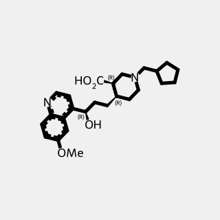 COc1ccc2nccc([C@H](O)CC[C@@H]3CCN(CC4CCCC4)C[C@@H]3C(=O)O)c2c1